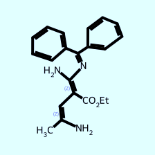 CCOC(=O)C(/C=C(/C)N)=C(/N)N=C(c1ccccc1)c1ccccc1